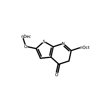 CCCCCCCCCCOc1cc2c(s1)N=C(CCCCCCCC)CC2=O